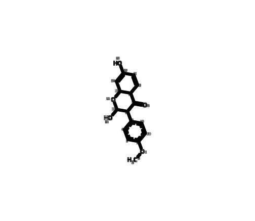 COc1ccc(C2C(=O)C3C=CC(O)=CC3OC2O)cc1